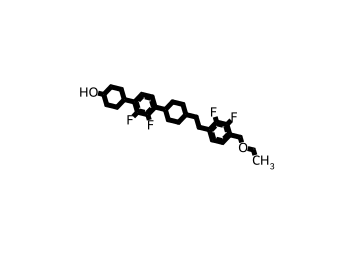 CCOCc1ccc(CCC2CCC(c3ccc(C4CCC(O)CC4)c(F)c3F)CC2)c(F)c1F